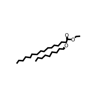 CCCCCCCCC=O.CCCCCCCCCCCCCCCC(=O)OCC